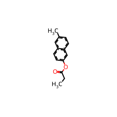 CCC(=O)Oc1ccc2cc(C)ccc2c1